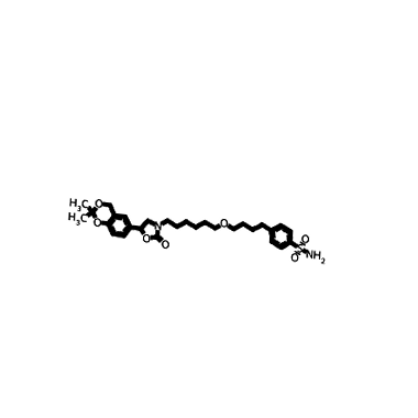 CC1(C)OCc2cc(C3CN(CCCCCCOCCCCc4ccc(S(N)(=O)=O)cc4)C(=O)O3)ccc2O1